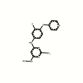 CC(C)Nc1cc(Nc2ccc(Sc3ccncc3)c(F)c2)nc(N)n1